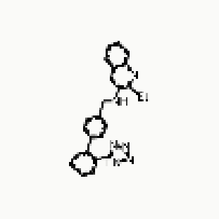 CCc1nc2ccccc2cc1NCc1ccc(-c2ccccc2-c2nnn[nH]2)cc1